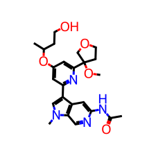 COC1(c2cc(OC(C)CCO)cc(-c3cn(C)c4cnc(NC(C)=O)cc34)n2)CCOC1